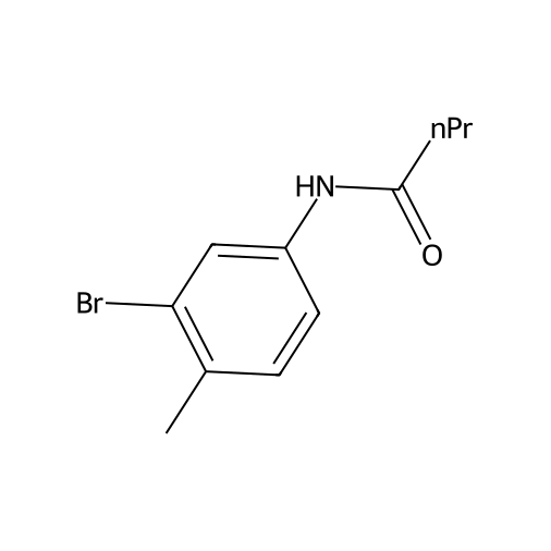 CCCC(=O)Nc1ccc(C)c(Br)c1